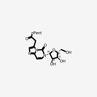 CCCCCC(=O)Cc1cnc2ccn([C@@H]3O[C@H](CO)[C@@H](O)[C@H]3O)c(=O)n12